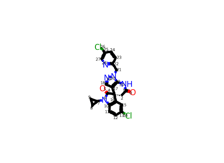 O=C1C[C@]2(C(=O)N(C3CC3)c3ccc(Cl)cc32)c2cnn(Cc3ccc(Cl)cn3)c2N1